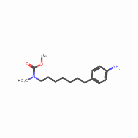 CC(C)(C)OC(=O)N(CCCCCCCc1ccc(N)cc1)C(=O)O